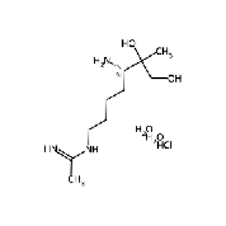 CC(=N)NCCCC[C@H](N)C(C)(O)CO.Cl.O.O